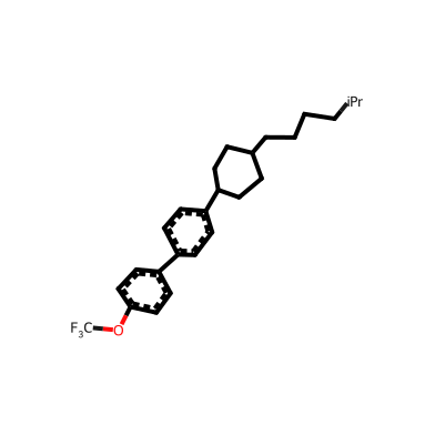 CC(C)CCCCC1CCC(c2ccc(-c3ccc(OC(F)(F)F)cc3)cc2)CC1